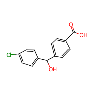 O=C(O)c1ccc(C(O)c2ccc(Cl)cc2)cc1